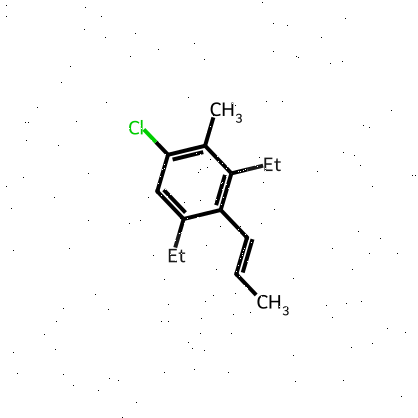 CC=Cc1c(CC)cc(Cl)c(C)c1CC